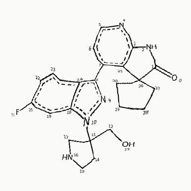 O=C1Nc2nccc(-c3nn(C4(CO)CCNC4)c4cc(F)ccc34)c2C12CCCC2